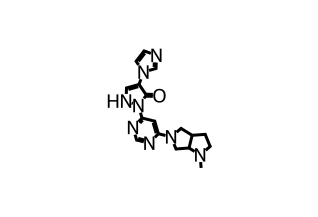 CN1CCC2CN(c3cc(-n4[nH]cc(-n5ccnc5)c4=O)ncn3)CC21